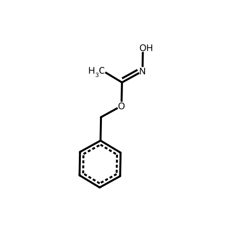 C/C(=N\O)OCc1ccccc1